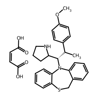 COc1ccc(C(C)[C@@H](C2CCCN2)N2c3ccccc3CSc3ccccc32)cc1.O=C(O)/C=C\C(=O)O